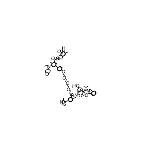 CCN(c1cc(-c2ccc(OCCOCCOCCOCCOc3cc(-c4scnc4C)ccc3CNC(=O)[C@@H]3C[C@@H](O)CN3C(=O)[C@H](C(C)C)N3Cc4ccccc4C3=O)cc2)cc(C(=O)NCc2c(C)cc(C)[nH]c2=O)c1C)C1CCOCC1